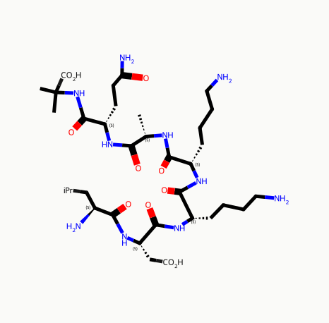 CC(C)C[C@H](N)C(=O)N[C@@H](CC(=O)O)C(=O)N[C@@H](CCCCN)C(=O)N[C@@H](CCCCN)C(=O)N[C@@H](C)C(=O)N[C@@H](CCC(N)=O)C(=O)NC(C)(C)C(=O)O